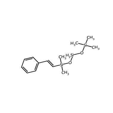 C[Si](C)(C)O[SiH2]O[Si](C)(C)C=Cc1ccccc1